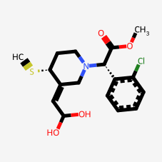 C#S[C@@H]1CCN([C@H](C(=O)OC)c2ccccc2Cl)C/C1=C\C(O)O